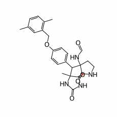 Cc1ccc(C)c(COc2ccc(C(C3(C)NC(=O)NC3=O)C3(NC=O)CCNC3=O)cc2)c1